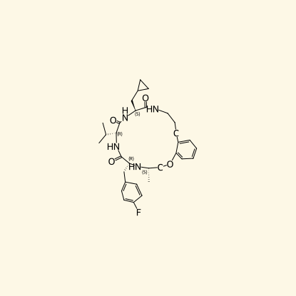 CC(C)[C@H]1NC(=O)[C@@H](Cc2ccc(F)cc2)N[C@@H](C)COc2ccccc2CCCNC(=O)[C@H](CC2CC2)NC1=O